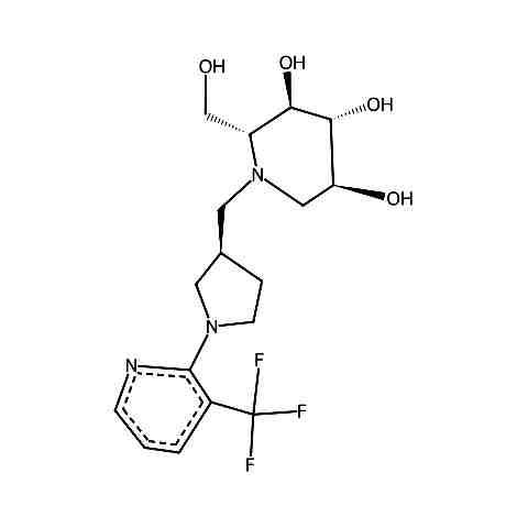 OC[C@@H]1[C@@H](O)[C@H](O)[C@@H](O)CN1C[C@H]1CCN(c2ncccc2C(F)(F)F)C1